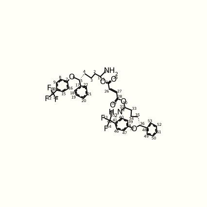 NC(CCC[C@@H](Oc1ccc(C(F)(F)F)cc1)c1ccccc1)OC(=O)/C=C/C(=O)OC(N)CCC[C@@H](Oc1ccc(C(F)(F)F)cc1)c1ccccc1